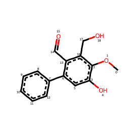 COc1c(O)cc(-c2ccccc2)c(C=O)c1CO